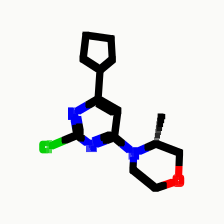 C[C@@H]1COCCN1c1cc(C2CCCC2)nc(Cl)n1